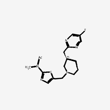 CC(=O)N(C)c1ncc(CN2CCC[C@H](Cc3ncc(F)cn3)C2)s1